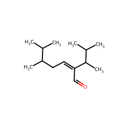 CC(C)C(C)C/C=C(\C=O)C(C)C(C)C